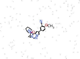 COc1ccc(-c2cc3c(N4CC5CCC(C4)N5C(=O)C4CC4)ncnn3c2)cc1C#N